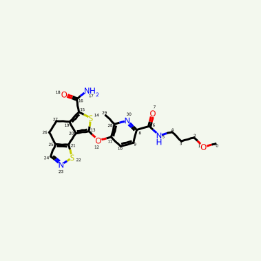 COCCCNC(=O)c1ccc(Oc2sc(C(N)=O)c3c2-c2sncc2CC3)c(C)n1